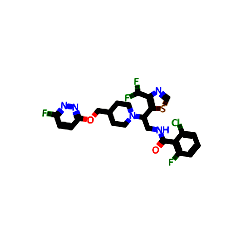 O=C(NCC(c1scnc1C(F)F)N1CCC(COc2ccc(F)nn2)CC1)c1c(F)cccc1Cl